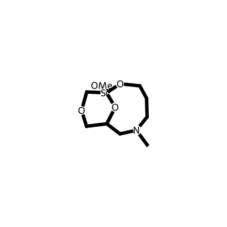 CO[Si]12COCC(CN(C)CCCO1)O2